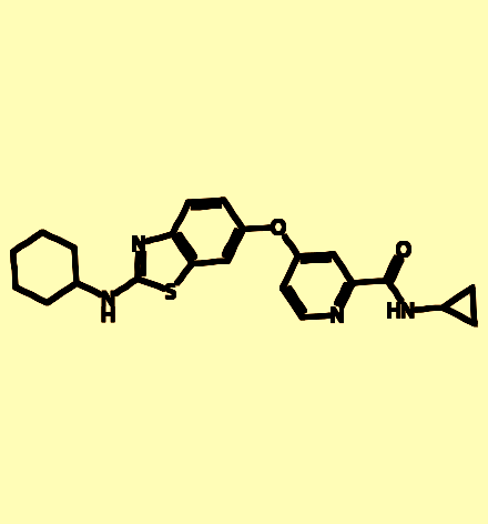 O=C(NC1CC1)c1cc(Oc2ccc3nc(NC4CCCCC4)sc3c2)ccn1